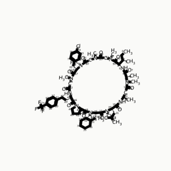 CC[C@H](C)[C@@H]1NC(=O)[C@H](C)N(C)C(=O)C[C@@H](C)NC(=O)[C@H](CC(C)C)N(C)C(=O)[C@H](CC2CCCCC2)N(C)C(=O)[C@@H]2CCCN2C(=O)[C@H](CCc2ccc(C(F)(F)F)cc2)NC(=O)CN(C)C(=O)[C@H](Cc2ccc(Cl)cc2)N(C)C(=O)CN(C)C(=O)CN(C)C1=O